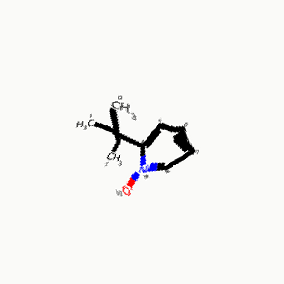 CC(C)(C)c1cccc[n+]1[O-]